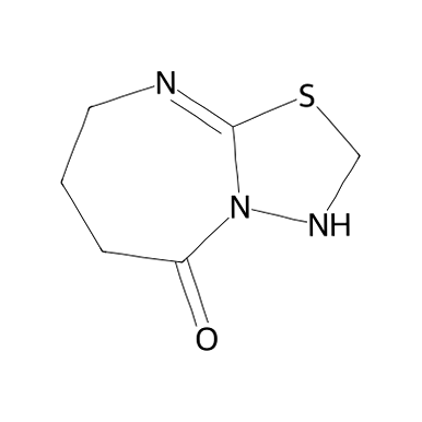 O=C1CCCN=C2SCNN12